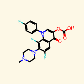 CN1CCN(c2c(F)cc3c(=O)c(OC(=O)O)cn(-c4ccc(F)cc4)c3c2F)CC1